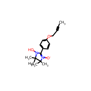 CC#CCOc1ccc(C2=[N+]([O-])C(C)(C)C(C)(C)N2O)cc1